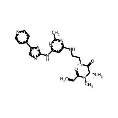 C=CC(=O)N(C)[C@@H](C)C(=O)NCCNc1cc(Nc2ncc(-c3ccncc3)s2)nc(C)n1